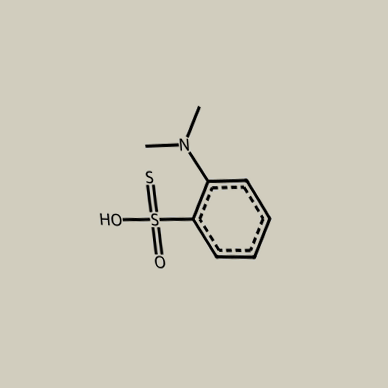 CN(C)c1ccccc1S(=O)(O)=S